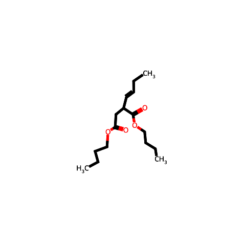 CC/C=C/C(CC(=O)OCCCC)C(=O)OCCCC